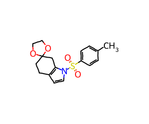 Cc1ccc(S(=O)(=O)n2ccc3c2CC2(CC3)OCCO2)cc1